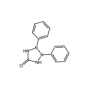 O=C1NN(c2ccccc2)N(c2ccccc2)N1